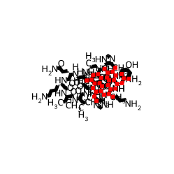 CC(C)C[C@H](NC(=O)[C@H](C)NC(=O)[C@H](CC(N)=O)NC(=O)[C@H](C)NC(=O)[C@@H](NC(=O)CNC(=O)[C@H](C)NC(=O)[C@@H](NC(=O)[C@@H](NC(=O)[C@H](CCCCN)NC(=O)[C@H](CCC(N)=O)NC(=O)[C@@H](N)Cc1ccc(O)cc1)C(C)C)C(C)C)C(C)C)C(=O)N[C@@H](C)C(=O)N[C@@H](Cc1c[nH]cn1)C(=O)N[C@@H](CCCCN)C(=O)N[C@@H](Cc1ccc(O)cc1)C(=O)N[C@@H](Cc1c[nH]cn1)C(=O)O